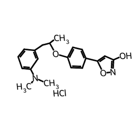 CC(Cc1cccc(N(C)C)c1)Oc1ccc(-c2cc(O)no2)cc1.Cl